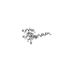 CCC(CC)C(=O)O.CCC(CC)C(=O)O.CCOCCOCC